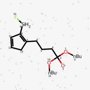 CCCCOC([O])(CCCC1=C([SiH2]F)C=CC1)OCCCC